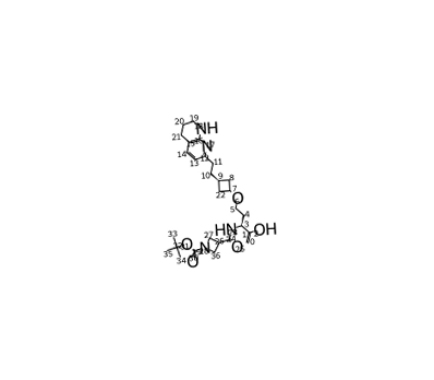 C=C(O)[C@H](CCO[C@H]1C[C@H](CCc2ccc3c(n2)NCCC3)C1)NC(=O)C1CN(C(=O)OC(C)(C)C)C1